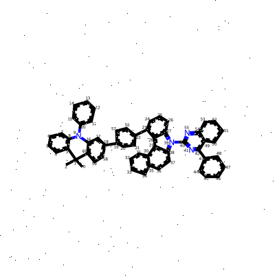 CC1(C)c2ccccc2N(c2ccccc2)c2cc(-c3ccc(-c4cccc5c4c4c6ccccc6ccc4n5-c4nc(-c5ccccc5)c5ccccc5n4)cc3)ccc21